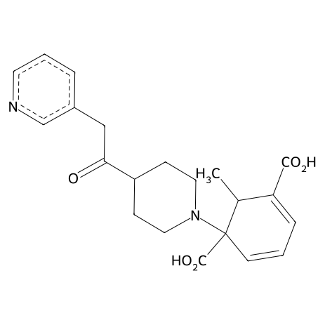 CC1C(C(=O)O)=CC=CC1(C(=O)O)N1CCC(C(=O)Cc2cccnc2)CC1